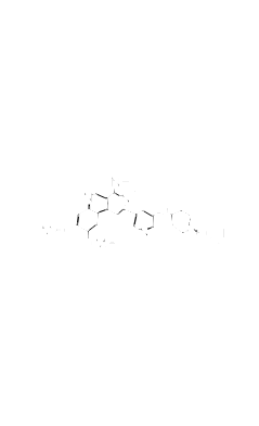 COc1cc2ncc3c(N)nc(-c4cncc(OC5CCN(C(=O)O)CC5)c4)cc3c2cc1OC